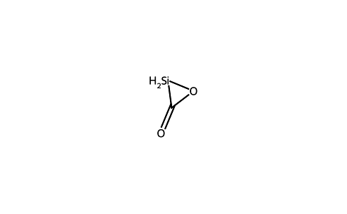 O=C1O[SiH2]1